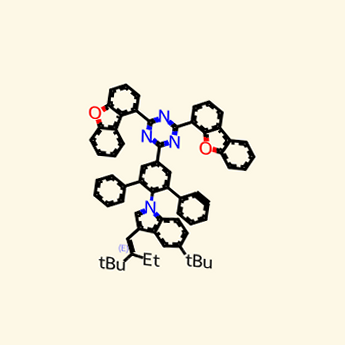 CC/C(=C\c1cn(-c2c(-c3c#cccc3)cc(-c3nc(-c4cccc5c4oc4ccccc45)nc(-c4cccc5oc6ccccc6c45)n3)cc2-c2ccccc2)c2ccc(C(C)(C)C)cc12)C(C)(C)C